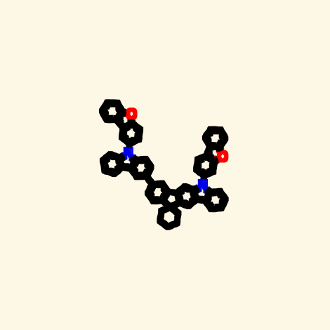 c1ccc2c(c1)oc1cc(-n3c4ccccc4c4cc5c(cc43)-c3cc(-c4ccc6c(c4)c4ccccc4n6-c4ccc6oc7ccccc7c6c4)ccc3C53CCCCC3)ccc12